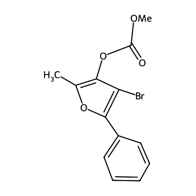 COC(=O)Oc1c(C)oc(-c2ccccc2)c1Br